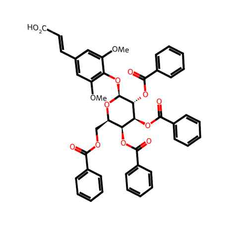 COc1cc(/C=C/C(=O)O)cc(OC)c1O[C@@H]1O[C@H](COC(=O)c2ccccc2)[C@H](OC(=O)c2ccccc2)[C@H](OC(=O)c2ccccc2)[C@H]1OC(=O)c1ccccc1